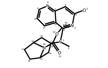 CN(c1nc(Cl)cc2ncccc12)C1CC2CCC(C1)N2C(=O)OC(C)(C)C